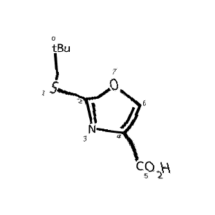 CC(C)(C)Sc1nc(C(=O)O)co1